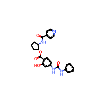 O=C(Nc1ccccc1)Nc1ccc(C(=O)O[C@@H]2CCC[C@H]2NC(=O)c2ccncc2)c(O)c1